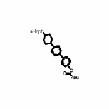 CCCCCCCC1CCC(c2ccc(-c3ccc(OC(=O)CCCC)cc3)cc2)CC1